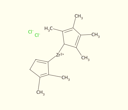 CC1=C(C)[C]([Zr+2][CH]2C(C)=C(C)C(C)=C2C)=CC1.[Cl-].[Cl-]